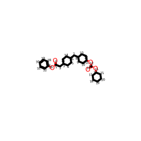 O=C(CC1CCC(CC2CCC(OC(=O)OC3CCCCC3)CC2)CC1)Oc1ccccc1